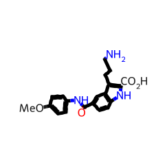 COc1ccc(NC(=O)c2ccc3[nH]c(C(=O)O)c(CCCN)c3c2)cc1